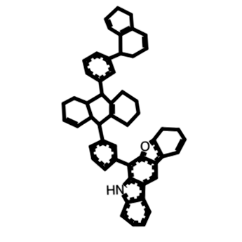 C1=CC2=C(C=CCC2c2cccc(C3C4=C(CCCC4)C(c4cccc(-c5c6[nH]c7ccccc7c6cc6c7c(oc56)CCC=C7)c4)C4C=CCCC34)c2)CC1